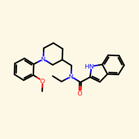 CCN(CC1CCCN(c2ccccc2OC)C1)C(=O)c1cc2ccccc2[nH]1